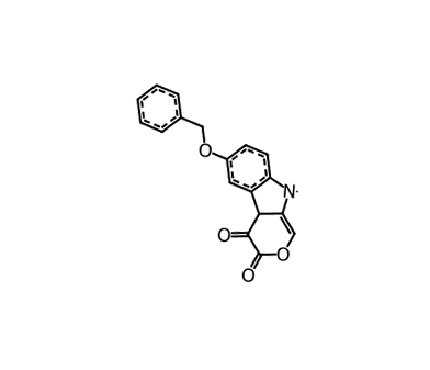 O=C1OC=C2[N]c3ccc(OCc4ccccc4)cc3C2C1=O